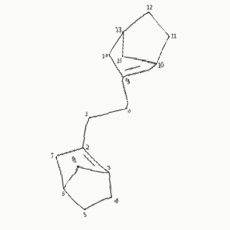 C(CC1=C2CCC(C1)C2)C1=C2CCC(C1)C2